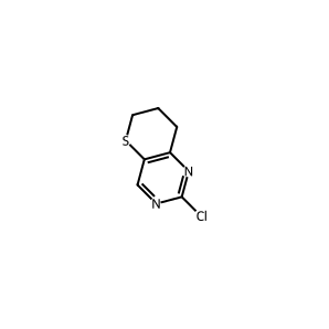 Clc1ncc2c(n1)CCCS2